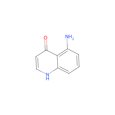 Nc1cccc2[nH]ccc(=O)c12